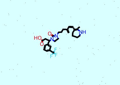 C=C(/C=C\C1=C(C)NCCCC1)CCCN1CCN(C(CC(=O)O)c2cccc(C(F)(F)F)c2)C1=O